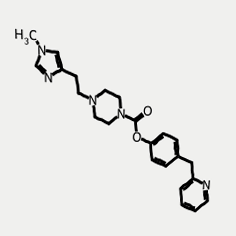 Cn1cnc(CCN2CCN(C(=O)Oc3ccc(Cc4ccccn4)cc3)CC2)c1